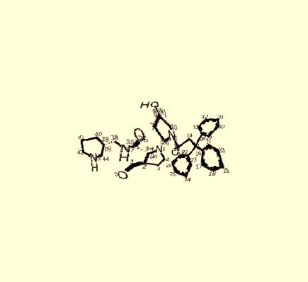 O=C=C1CCN([C@@H]2C[C@@H](O)CN2C(=O)CC(c2ccccc2)(c2ccccc2)c2ccccc2)[C@H]1C(=O)NC[C@H]1CCCNC1